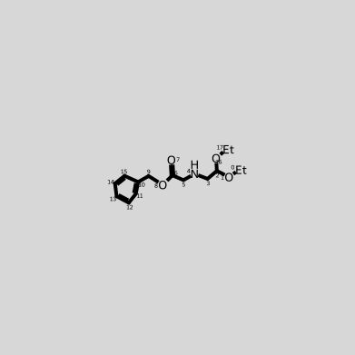 CCOC(CNCC(=O)OCc1ccccc1)OCC